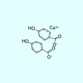 O=C([O-])c1ccc(O)cc1.O=C([O-])c1ccc(O)cc1.[Ca+2]